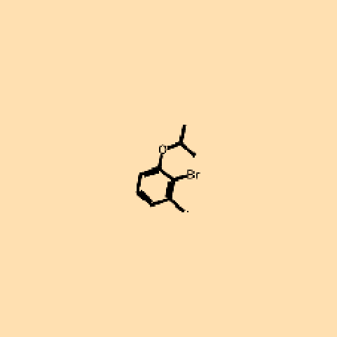 [CH2]c1cccc(OC(C)C)c1Br